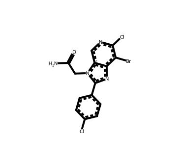 NC(=O)Cn1c(-c2ccc(Cl)cc2)nc2c(Br)c(Cl)ncc21